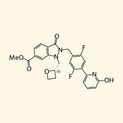 COC(=O)c1ccc2c(=O)n(Cc3cc(F)c(-c4cccc(O)n4)cc3F)n(C[C@@H]3CCO3)c2c1